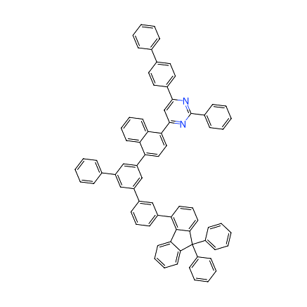 c1ccc(-c2ccc(-c3cc(-c4ccc(-c5cc(-c6ccccc6)cc(-c6cccc(-c7cccc8c7-c7ccccc7C8(c7ccccc7)c7ccccc7)c6)c5)c5ccccc45)nc(-c4ccccc4)n3)cc2)cc1